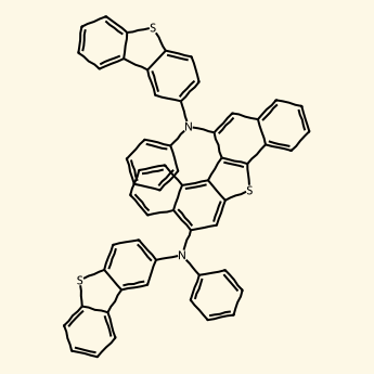 c1ccc(N(c2ccc3sc4ccccc4c3c2)c2cc3sc4c5ccccc5cc(N(c5ccccc5)c5ccc6sc7ccccc7c6c5)c4c3c3ccccc23)cc1